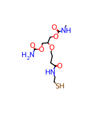 CNC(=O)OCC(COC(N)=O)OCCCC(=O)NCCS